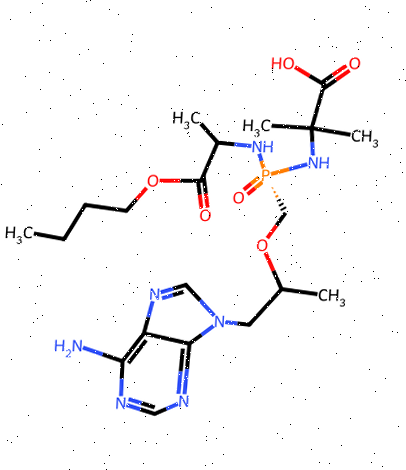 CCCCOC(=O)C(C)N[P@@](=O)(COC(C)Cn1cnc2c(N)ncnc21)NC(C)(C)C(=O)O